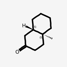 C[C@@]12CCCC[C@H]1CC(=O)CC2